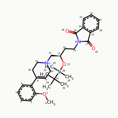 COc1ccccc1C1=CCN(C[C@@H](CCN2C(=O)c3ccccc3C2=O)O[Si](C)(C)C(C)(C)C)CC1